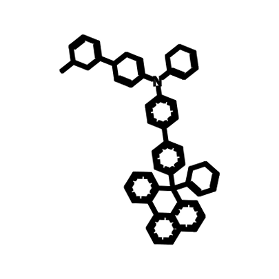 CC1C=CC=C(C2C=CC(N(C3=CC=CCC3)c3ccc(-c4ccc(C5(C6=CC=CCC6)c6ccccc6-c6cccc7cccc5c67)cc4)cc3)=CC2)C1